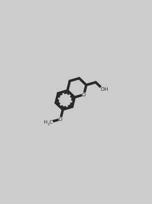 COc1ccc2c(c1)OC(CO)CC2